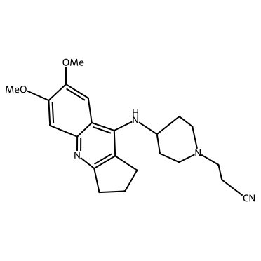 COc1cc2nc3c(c(NC4CCN(CCC#N)CC4)c2cc1OC)CCC3